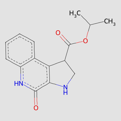 CC(C)OC(=O)C1CNc2c1c1ccccc1[nH]c2=O